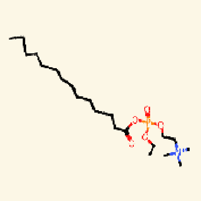 CCCCCCCCCCCCCC(=O)OP(=O)(OCC)OCC[N+](C)(C)C